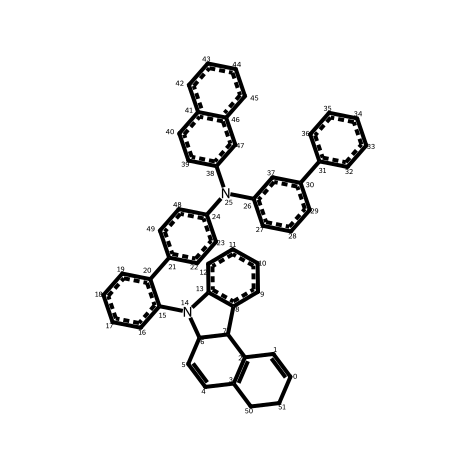 C1=CC2=C(C=CC3C2c2ccccc2N3c2ccccc2-c2ccc(N(c3cccc(-c4ccccc4)c3)c3ccc4ccccc4c3)cc2)CC1